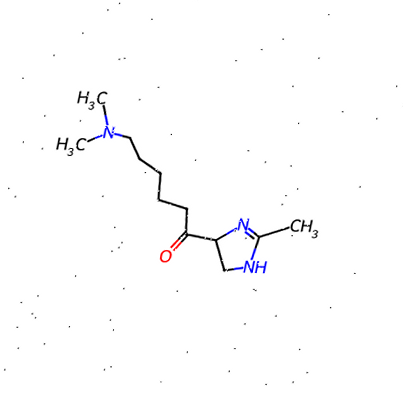 CC1=NC(C(=O)CCCCCN(C)C)CN1